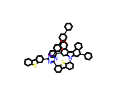 c1ccc(-c2ccc(-c3ccc(-c4nc(-c5ccc6c(c5)sc5ccccc56)nc(-c5cccc6c5sc5c(-n7c8cc(-c9ccccc9)c9ccccc9c8c8c9ccccc9c(-c9ccccc9)cc87)cccc56)n4)cc3)cc2)cc1